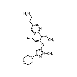 C/C=C(\C(=C/CF)Oc1cc(N2CCOCC2)nn1C)c1ncc(CCN)cn1